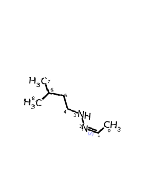 C/C=N\NCCC(C)C